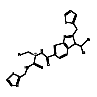 CCC(CC)n1c(Cc2cccs2)nc2cc(C(=O)N[C@@H](CC(C)C)C(=O)NCc3nccs3)ccc21